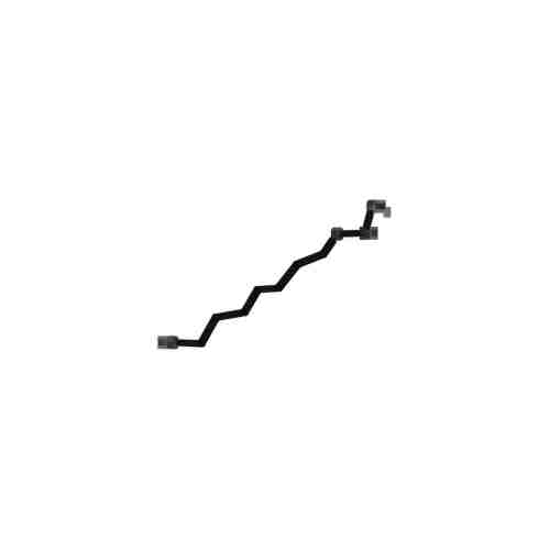 CBOCCCCCCCO